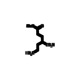 COC(=O)CCC(CCC(=O)O)C(=O)O